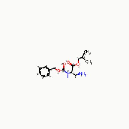 CC(C)COC(=O)[C@@H](CN)NC(=O)OCc1ccccc1